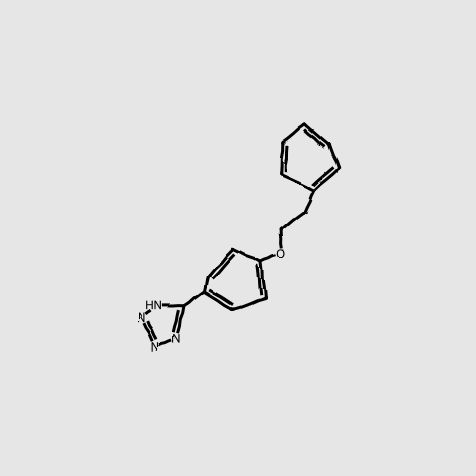 c1ccc(CCOc2ccc(-c3nnn[nH]3)cc2)cc1